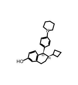 Oc1ccc2c(c1)CC[C@H](C1CCC1)[C@@H]2c1ccc(N2CCCCC2)cc1